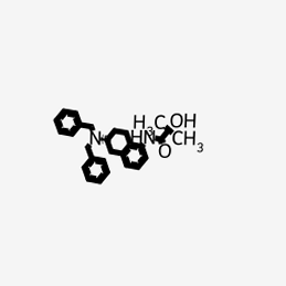 CC(C)(O)C(=O)Nc1cccc2c1CC[C@H](N(Cc1ccccc1)Cc1ccccc1)C2